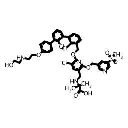 CC(C)(NCc1cc(Cl)c(OCc2cccc(-c3cccc(-c4ccc(OCCNCCO)cc4)c3Cl)c2Cl)nc1OCc1cncc(S(C)(=O)=O)c1)C(=O)O